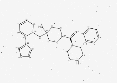 O=C([C@@H]1CCNC[C@H]1c1ccccc1)N1CCC(O)(Cc2ccccc2-c2ccon2)CC1